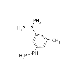 Cc1cc(PP)cc(P(P)P)c1